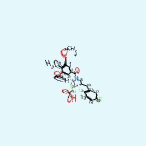 COc1cc(C(=O)N(CCCc2cccc(F)c2)CCSCC(=O)O)cc(OC)c1C